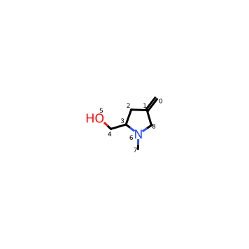 C=C1CC(CO)N(C)C1